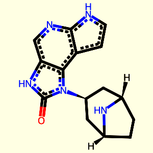 O=c1[nH]c2cnc3[nH]ccc3c2n1[C@@H]1C[C@H]2CC[C@@H](C1)N2